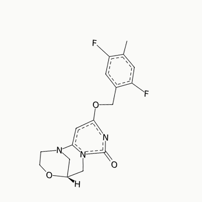 Cc1cc(F)c(COc2cc3n(c(=O)n2)C[C@H]2CN3CCO2)cc1F